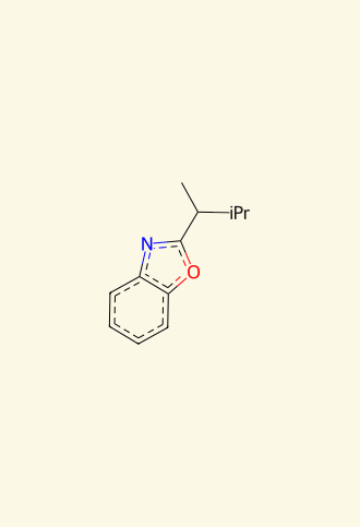 CC(C)C(C)c1nc2ccccc2o1